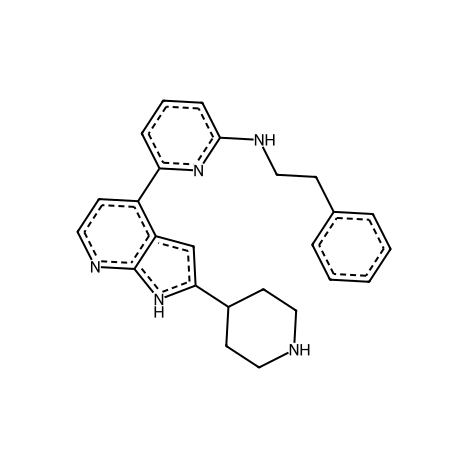 c1ccc(CCNc2cccc(-c3ccnc4[nH]c(C5CCNCC5)cc34)n2)cc1